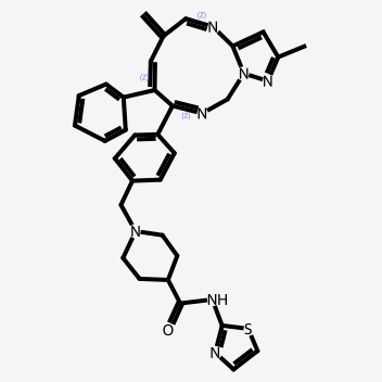 C=C1/C=N\c2cc(C)nn2C/N=C(c2ccc(CN3CCC(C(=O)Nc4nccs4)CC3)cc2)\C(c2ccccc2)=C/1